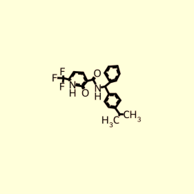 CC(C)c1ccc(C(NC(=O)c2ccc(C(F)(F)F)[nH]c2=O)c2ccccc2)cc1